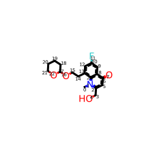 Cn1c(CO)cc(=O)c2cc(F)cc(CCOC3CCCCO3)c21